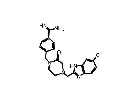 N=C(N)c1ccc(CN2CCN(Cc3nc4ccc(Cl)cc4[nH]3)CC2=O)cc1